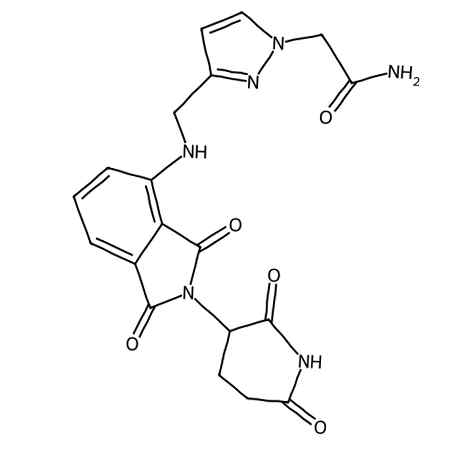 NC(=O)Cn1ccc(CNc2cccc3c2C(=O)N(C2CCC(=O)NC2=O)C3=O)n1